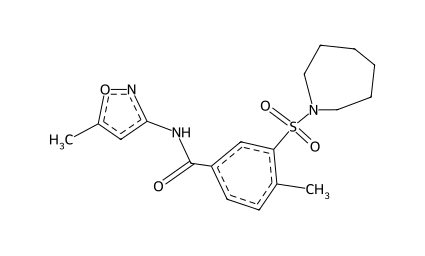 Cc1cc(NC(=O)c2ccc(C)c(S(=O)(=O)N3CCCCCC3)c2)no1